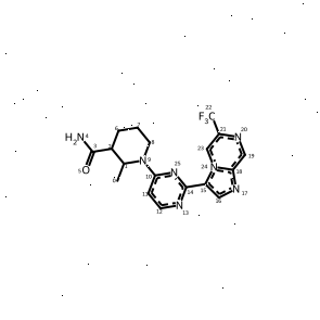 CC1C(C(N)=O)CCCN1c1ccnc(-c2cnc3cnc(C(F)(F)F)cn23)n1